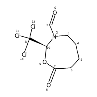 O=CN1CCCCC(=O)O[C@H]1C(Cl)(Cl)Cl